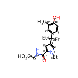 CCn1cc(C(CC)(CC)c2ccc(O)c(C)c2)cc1C(=O)NCC(=O)O